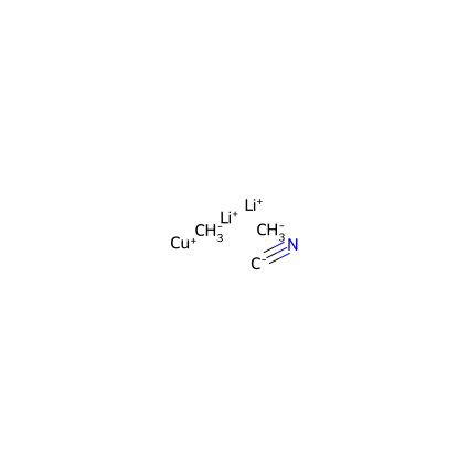 [C-]#N.[CH3-].[CH3-].[Cu+].[Li+].[Li+]